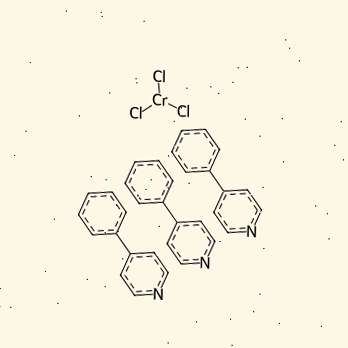 [Cl][Cr]([Cl])[Cl].c1ccc(-c2ccncc2)cc1.c1ccc(-c2ccncc2)cc1.c1ccc(-c2ccncc2)cc1